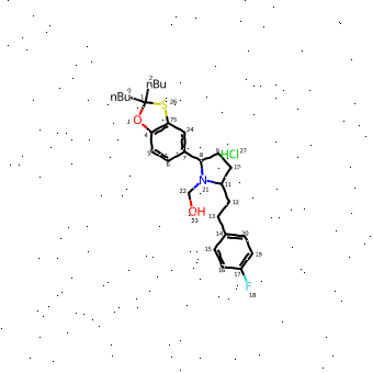 CCCCC1(CCCC)Oc2ccc(C3CCC(CCc4ccc(F)cc4)N3CO)cc2S1.Cl